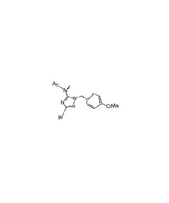 COc1ccc(Cn2nc(Br)nc2N(C)C(C)=O)cc1